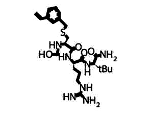 C=Cc1cccc(CSC[C@H](NCO)C(=O)N[C@@H](CCCNC(=N)N)C(=O)N[C@H](C(N)=O)C(C)(C)C)c1